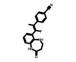 C/C(=C(/F)c1cccc2c1NCCC(=O)N2)c1ccc(C#N)cc1